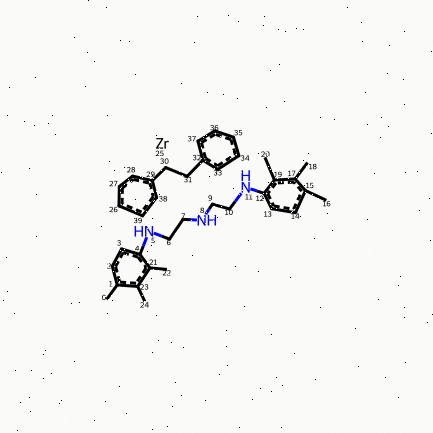 Cc1ccc(NCCNCCNc2ccc(C)c(C)c2C)c(C)c1C.[Zr].c1ccc(CCc2ccccc2)cc1